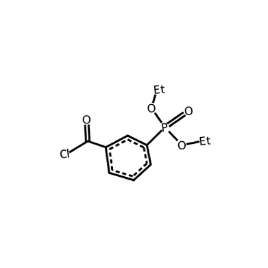 CCOP(=O)(OCC)c1cccc(C(=O)Cl)c1